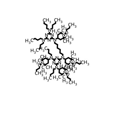 CCCCN(CCCC)c1nc(N(CCCC)CCCC)nc(N(CCCCCCN(c2nc(N(CCCC)C3CC(C)(C)N(OCCC)C(C)(C)C3)nc(N(CCCC)C3CC(C)(C)N(OCCC)C(C)(C)C3)n2)C2CC(C)(C)N(OCCC)C(C)(C)C2)C2CC(C)(C)N(OCCC)C(C)(C)C2)n1